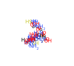 CC(C)[C@H](N)C(=O)O.C[C@@H](O)[C@H](N)C(=O)O.C[C@H](N)C(=O)OC(=O)[C@@H](N)CS.NCCCC[C@H](N)C(=O)O.N[C@@H](CS)C(=O)O.N[C@H](Cc1ccc(OC(=O)[C@@H](N)Cc2ccc(OC(=O)[C@H](N)Cc3c[nH]c4ccccc34)cc2)cc1)C(=O)O